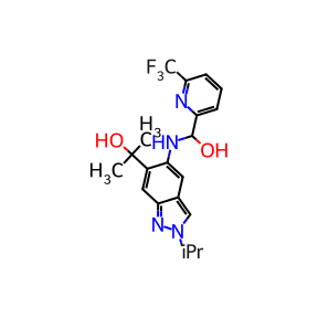 CC(C)n1cc2cc(NC(O)c3cccc(C(F)(F)F)n3)c(C(C)(C)O)cc2n1